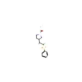 CC(C)(C)OC(=O)N1CCC(C(O)C(F)S(=O)(=O)c2ccccc2)C1